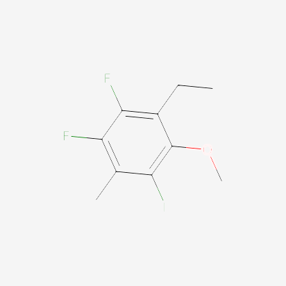 [CH2]c1c(F)c(F)c(CC)c(OC)c1F